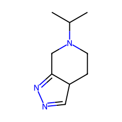 CC(C)N1CCC2C=NN=C2C1